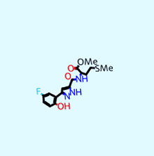 COC(=O)C(CCSC)NC(=O)c1cc(-c2cc(F)ccc2O)n[nH]1